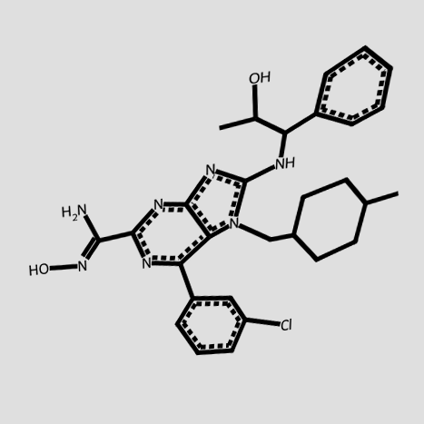 CC1CCC(Cn2c(NC(c3ccccc3)C(C)O)nc3nc(C(N)=NO)nc(-c4cccc(Cl)c4)c32)CC1